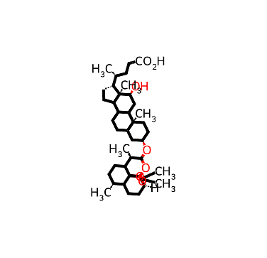 C[C@H]1C(O[C@@H]2CC[C@@]3(C)C(CCC4C3C[C@H](O)[C@@]3(C)C4CC[C@@H]3[C@H](C)CCC(=O)O)C2)OC2OC(C)(C)[C@@H]3CCC4[C@H](C)CCC1C24O3